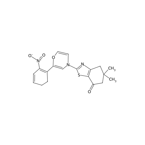 CC1(C)CC(=O)c2sc(N3C=COC(C4=C([N+](=O)[O-])C=CCC4)=C3)nc2C1